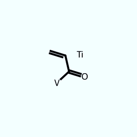 C=C[C](=O)[V].[Ti]